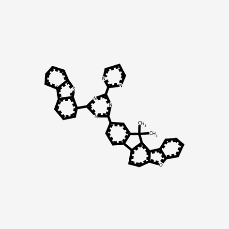 CC1(C)c2cc(-c3nc(-c4ncccn4)nc(-c4cccc5c4sc4ccccc45)n3)ccc2-c2ccc3oc4ccccc4c3c21